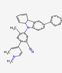 C=N/C=C\C(=C/C)c1cc(C)c(N2c3ccc(-c4ccccc4)cc3C3C=CC=CC32)cc1C#N